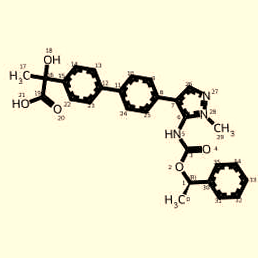 C[C@@H](OC(=O)Nc1c(-c2ccc(-c3ccc(C(C)(O)C(=O)O)cc3)cc2)cnn1C)c1ccccc1